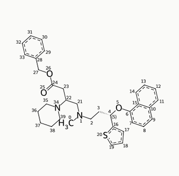 CN(CC[C@H](Oc1cccc2ccccc12)c1cccs1)CC(CC(=O)OCc1ccccc1)N1CCCCC1